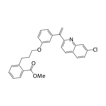 C=C(c1cccc(OCCCc2ccccc2C(=O)OC)c1)c1ccc2ccc(Cl)cc2n1